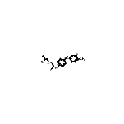 CC(O)COCC(C)Oc1ccc(Oc2ccc(C(F)(F)F)cc2)cc1